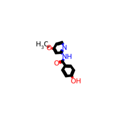 COc1ccnc(NC(=O)c2ccc(O)cc2)c1